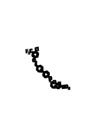 O=[N+]([O-])c1cn2c(n1)O[C@@H](COc1ccc(N3CCC(CCOc4ccc(Cl)c(C(F)(F)F)c4)CC3)cc1)CC2